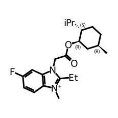 CCc1n(CC(=O)O[C@@H]2C[C@H](C)CC[C@H]2C(C)C)c2cc(F)ccc2[n+]1C